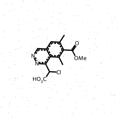 COC(=O)c1c(C)cc2cnnc(C(Cl)C(=O)O)c2c1C